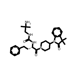 CC(C)(N)CNC(=O)N[C@@H](CCc1ccccc1)C(=O)N1CCC(N2C(=O)C(C)(C)c3ccccc32)CC1